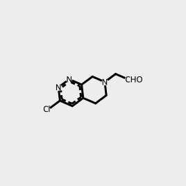 O=CCN1CCc2cc(Cl)nnc2C1